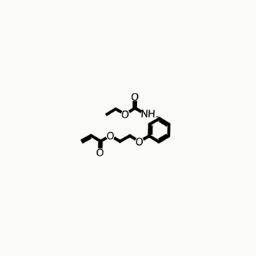 C=CC(=O)OCCOc1ccccc1.CCOC(N)=O